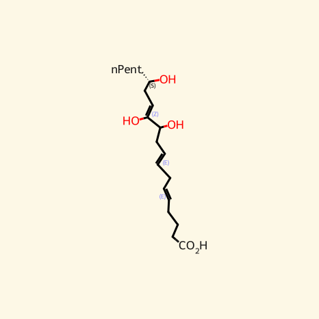 CCCCC[C@H](O)C/C=C(\O)C(O)C/C=C/C/C=C/CCCC(=O)O